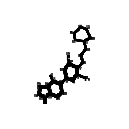 Cc1c(-c2cc(F)c(CCCC3CCCCC3)c(F)c2)ccc2[nH]cnc12